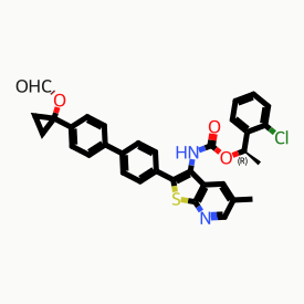 Cc1cnc2sc(-c3ccc(-c4ccc(C5(OC=O)CC5)cc4)cc3)c(NC(=O)O[C@H](C)c3ccccc3Cl)c2c1